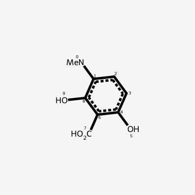 CNc1ccc(O)c(C(=O)O)c1O